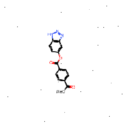 COC(=O)c1ccc(C(=O)Oc2ccc3[nH]nnc3c2)cc1